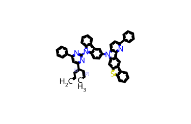 C=C/C=C(\C=C/C)c1cc(-c2ccccc2)nc(-n2c3ccccc3c3cc(-n4c5cc6sc7ccccc7c6cc5c5nc(-c6ccccc6)ccc54)ccc32)n1